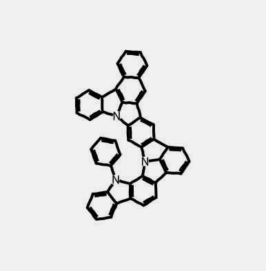 c1ccc(-n2c3ccccc3c3ccc4c5cccc6c7cc8c9cc%10ccccc%10c%10c%11ccccc%11n(c8cc7n(c65)c4c32)c9%10)cc1